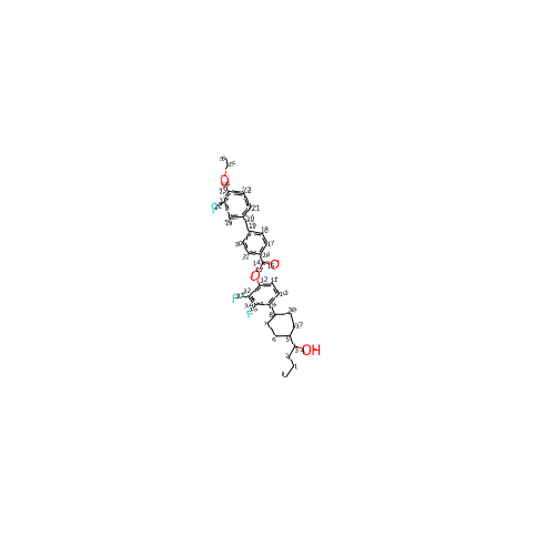 CCCC(O)C1CCC(c2ccc(OC(=O)c3ccc(-c4ccc(OCC)c(F)c4)cc3)c(F)c2F)CC1